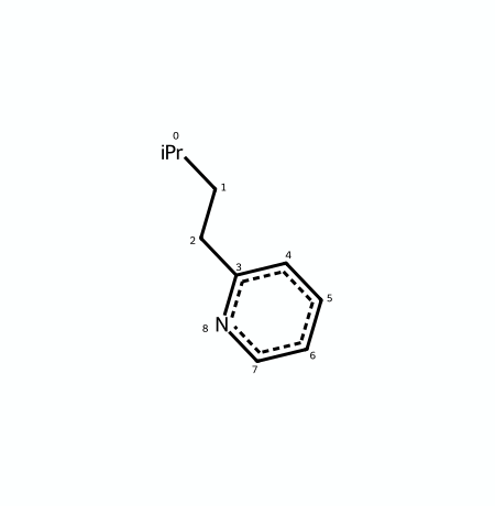 CC(C)CCc1ccccn1